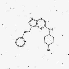 OC1CCC(Nc2ccc3ncc(C=Cc4ccccc4)n3n2)CC1